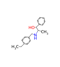 CCc1ccc(CNC(C)C(O)c2ccccc2)cc1